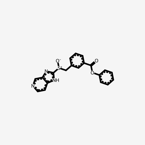 O=C(Oc1ccccc1)c1cccc(C[S+]([O-])c2nc3cnccc3[nH]2)c1